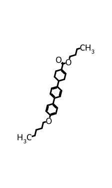 CCCCCOc1ccc(-c2ccc(C3CC=C(C(=O)OCCCC)CC3)cc2)cc1